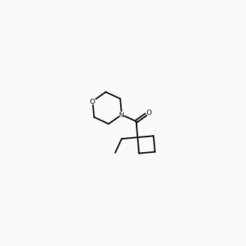 CCC1(C(=O)N2CCOCC2)CCC1